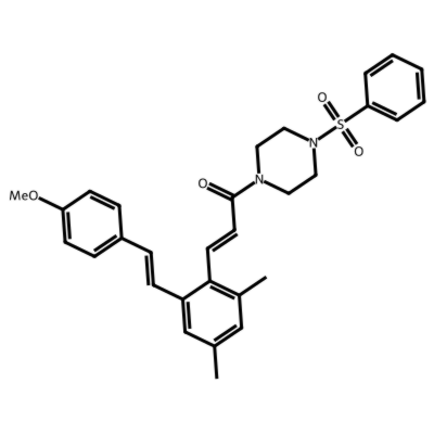 COc1ccc(/C=C/c2cc(C)cc(C)c2/C=C/C(=O)N2CCN(S(=O)(=O)c3ccccc3)CC2)cc1